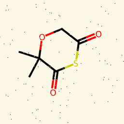 CC1(C)OCC(=O)SC1=O